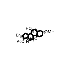 CO[C@H]1CC[C@@]2(C)C(=C[C@H](O)C3C4C[C@@H](Br)[C@H](OC(C)=O)[C@H]4CCC32)C1